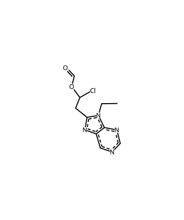 CCn1c(CC(Cl)OC=O)nc2cncnc21